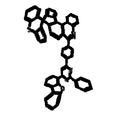 c1ccc(-c2nc(-c3ccc(-c4nc5ccccc5c5c6c(ccc45)C4(c5ccccc5Sc5ccccc54)c4ccccc4-6)cc3)cc(-c3cccc4c3oc3ccccc34)n2)cc1